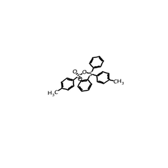 Cc1ccc(S(OS(=O)(=O)c2ccc(C)cc2)(c2ccccc2)c2ccccc2)cc1